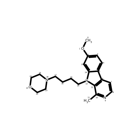 COc1ccc2c3ccnc(C)c3n(CCCCN3CCOCC3)c2c1